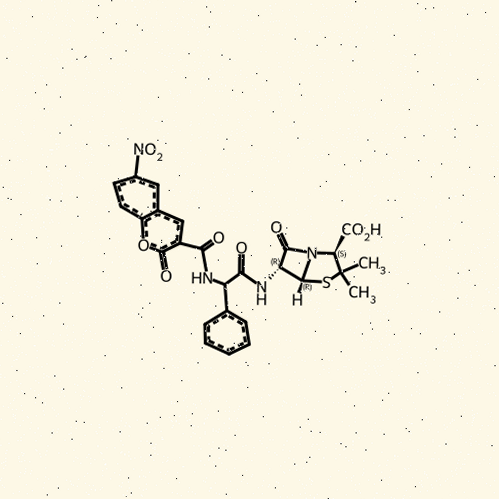 CC1(C)S[C@@H]2[C@H](NC(=O)C(NC(=O)c3cc4cc([N+](=O)[O-])ccc4oc3=O)c3ccccc3)C(=O)N2[C@H]1C(=O)O